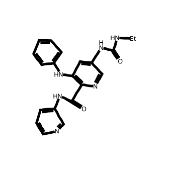 CCNC(=O)Nc1cnc(C(=O)Nc2cccnc2)c(Nc2ccccc2)c1